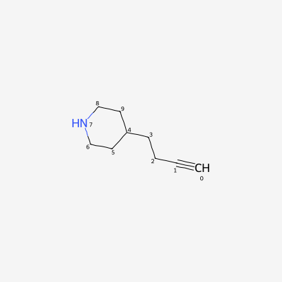 C#CCCC1CCNCC1